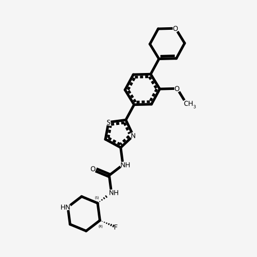 COc1cc(-c2nc(NC(=O)N[C@H]3CNCC[C@H]3F)cs2)ccc1C1=CCOCC1